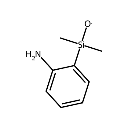 C[Si](C)([O])c1ccccc1N